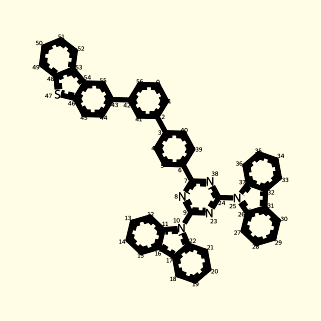 c1cc(-c2ccc(-c3nc(-n4c5ccccc5c5ccccc54)nc(-n4c5ccccc5c5ccccc54)n3)cc2)cc(-c2ccc3sc4ccccc4c3c2)c1